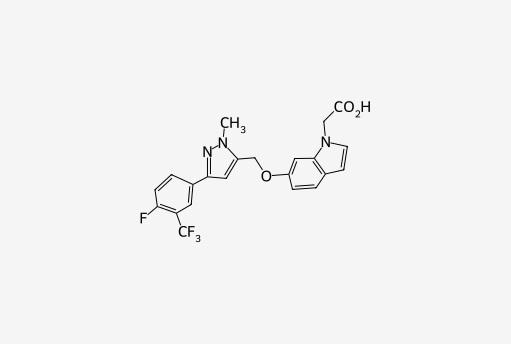 Cn1nc(-c2ccc(F)c(C(F)(F)F)c2)cc1COc1ccc2ccn(CC(=O)O)c2c1